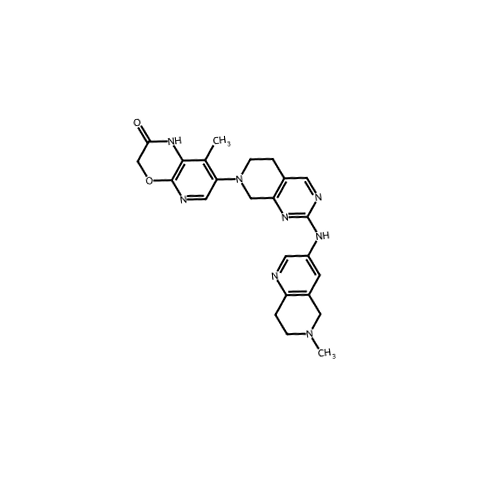 Cc1c(N2CCc3cnc(Nc4cnc5c(c4)CN(C)CC5)nc3C2)cnc2c1NC(=O)CO2